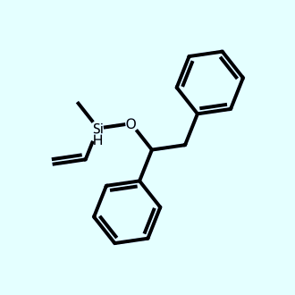 C=C[SiH](C)OC(Cc1ccccc1)c1ccccc1